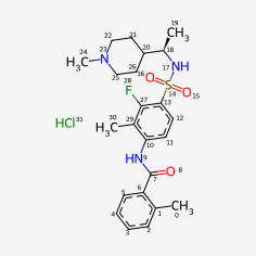 Cc1ccccc1C(=O)Nc1ccc(S(=O)(=O)N[C@H](C)C2CCN(C)CC2)c(F)c1C.Cl